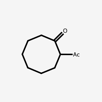 CC(=O)C1CCCCCCC1=O